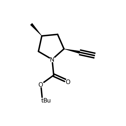 C#C[C@@H]1C[C@H](C)CN1C(=O)OC(C)(C)C